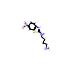 NCCCCNc1nc2ccc([N+](=O)[O-])cc2s1